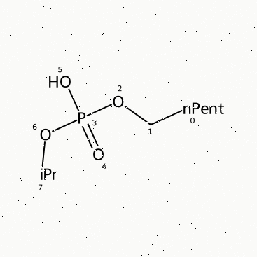 CCCCCCOP(=O)(O)OC(C)C